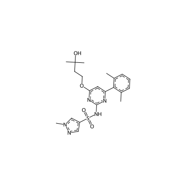 Cc1cccc(C)c1-c1cc(OCCC(C)(C)O)nc(NS(=O)(=O)c2cnn(C)c2)n1